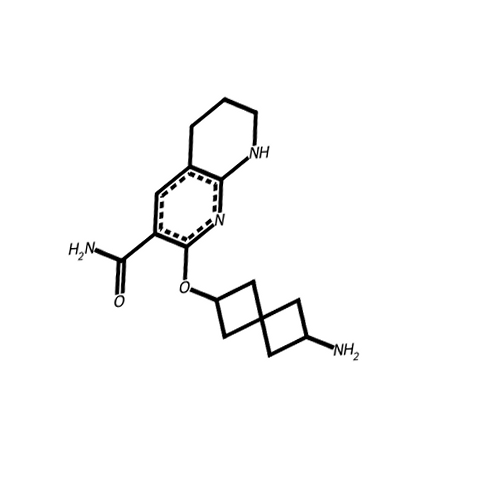 NC(=O)c1cc2c(nc1OC1CC3(CC(N)C3)C1)NCCC2